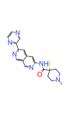 CN1CCC(F)(C(=O)Nc2cc3cc(-c4cnccn4)ncc3cn2)CC1